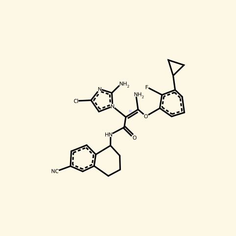 N#Cc1ccc2c(c1)CCCC2NC(=O)/C(=C(/N)Oc1cccc(C2CC2)c1F)n1cc(Cl)nc1N